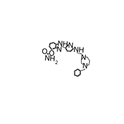 NC(=O)Oc1cccc2[nH]c(-c3ccc(NCCN4CCCN(Cc5ccccc5)CC4)nc3)nc12